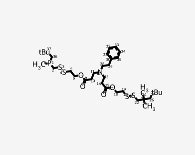 CP(CSSCCOC(=O)CCN(CCC(=O)OCCSSCC(C)(C)CC(C)(C)C)CCc1ccccc1)CC(C)(C)C